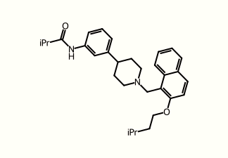 CC(C)CCOc1ccc2ccccc2c1CN1CCC(c2cccc(NC(=O)C(C)C)c2)CC1